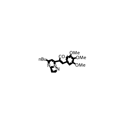 CCCCc1cc(C(=Cc2cc(OC)c(OC)c(OC)c2)C(=O)O)n2nccc2n1